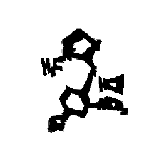 Cl.Cn1ccnc1Sc1ccc(Cl)cc1[N+](=O)[O-]